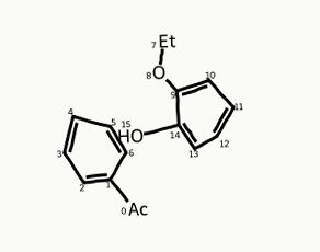 CC(=O)c1ccccc1.CCOc1ccccc1O